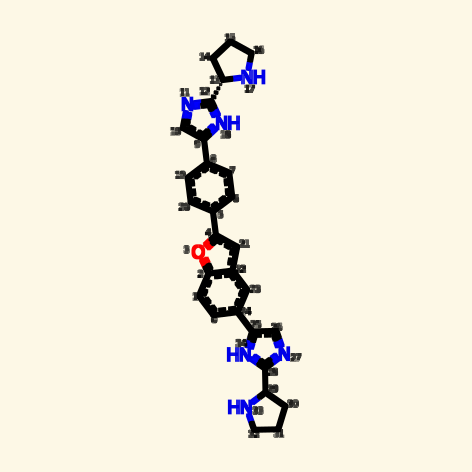 c1cc2oc(-c3ccc(-c4cnc([C@@H]5CCCN5)[nH]4)cc3)cc2cc1-c1cnc(C2CCCN2)[nH]1